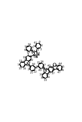 c1ccc(-c2nnc(-c3ccc4c5ccccc5n(-c5cccc(-c6cccc(-n7c8ccccc8c8cc9c(cc87)oc7ccccc79)c6)c5)c4c3)n2-c2ccccc2)cc1